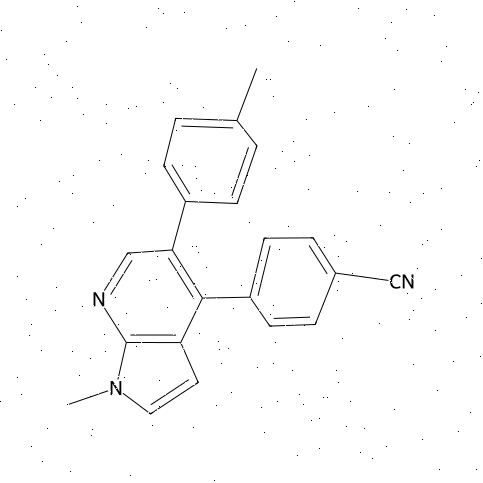 Cc1ccc(-c2cnc3c(ccn3C)c2-c2ccc(C#N)cc2)cc1